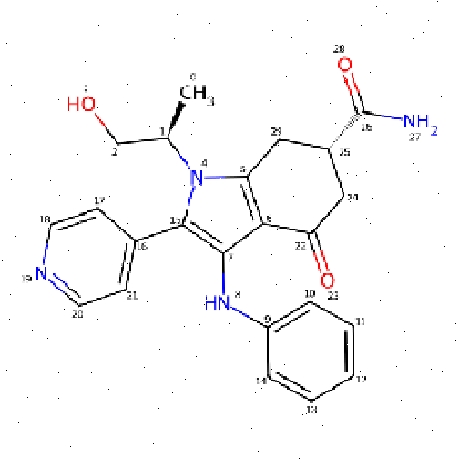 C[C@H](CO)n1c2c(c(Nc3ccccc3)c1-c1ccncc1)C(=O)C[C@@H](C(N)=O)C2